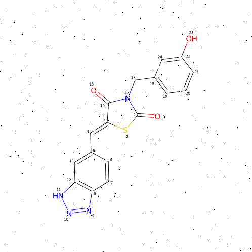 O=C1S/C(=C\c2ccc3nn[nH]c3c2)C(=O)N1Cc1cccc(O)c1